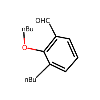 CCCCOc1c(C=O)cccc1CCCC